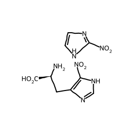 N[C@@H](Cc1nc[nH]c1[N+](=O)[O-])C(=O)O.O=[N+]([O-])c1ncc[nH]1